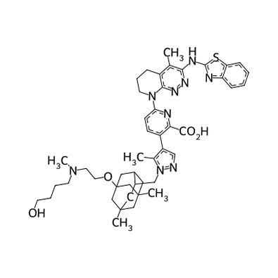 Cc1c(Nc2nc3ccccc3s2)nnc2c1CCCN2c1ccc(-c2cnn(CC3CC4(C)CC5(C)CC3CC(OCCN(C)CCCCO)(C4)C5)c2C)c(C(=O)O)n1